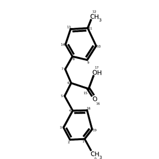 Cc1ccc(CC(Cc2ccc(C)cc2)C(=O)O)cc1